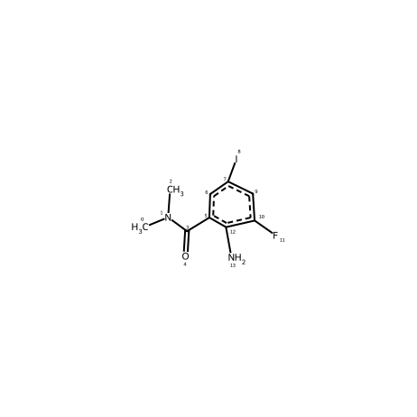 CN(C)C(=O)c1cc(I)cc(F)c1N